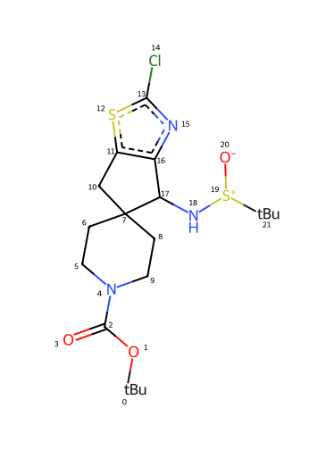 CC(C)(C)OC(=O)N1CCC2(CC1)Cc1sc(Cl)nc1C2N[S+]([O-])C(C)(C)C